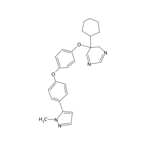 Cn1nccc1-c1ccc(Oc2ccc(OC3(C4CCCCC4)C=NC=NC3)cc2)cc1